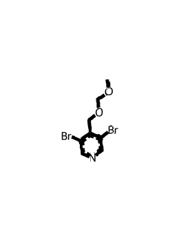 COCOCc1c(Br)cncc1Br